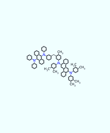 Cc1ccc(N(c2ccc(C)c(C)c2)c2cc3c4ccccc4c(N(c4ccc(C)c(C)c4)c4ccc(C)c(Cc5cccc(N(c6ccccc6)c6c7ccccc7c(N(c7ccccc7)c7ccccc7)c7ccccc67)c5)c4)cc3c3ccccc23)cc1C